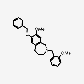 COc1ccccc1CN1CCCc2cc(OCc3ccccc3)c(OC)cc2C1